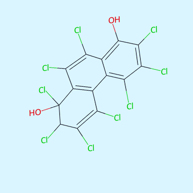 Oc1c(Cl)c(Cl)c(Cl)c2c3c(c(Cl)c(Cl)c12)C(O)(Cl)C(Cl)C(Cl)=C3Cl